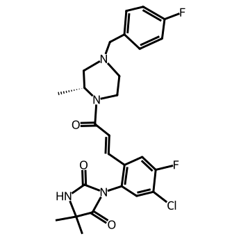 C[C@@H]1CN(Cc2ccc(F)cc2)CCN1C(=O)/C=C/c1cc(F)c(Cl)cc1N1C(=O)NC(C)(C)C1=O